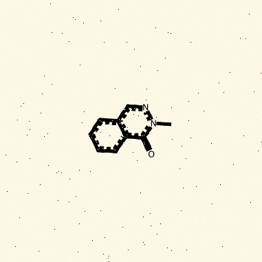 Cn1ncc2[c]cccc2c1=O